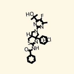 Cc1nc(N2C[C@H]3CSC(NC(=O)c4ccccc4)=NC3(c3ccccc3)C2)nc(C(C)(C)O)c1F.Cl